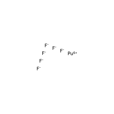 [F-].[F-].[F-].[F-].[F-].[F-].[Pu+6]